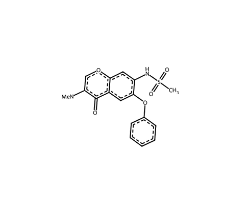 CNc1coc2cc(NS(C)(=O)=O)c(Oc3ccccc3)cc2c1=O